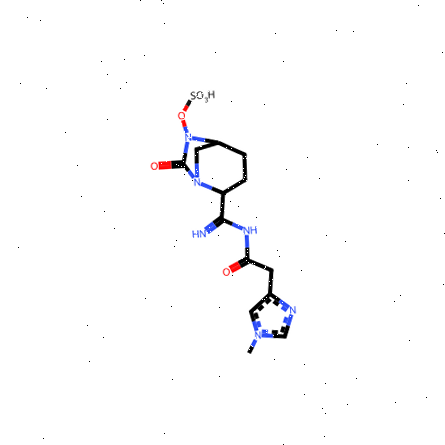 Cn1cnc(CC(=O)NC(=N)C2CCC3CN2C(=O)N3OS(=O)(=O)O)c1